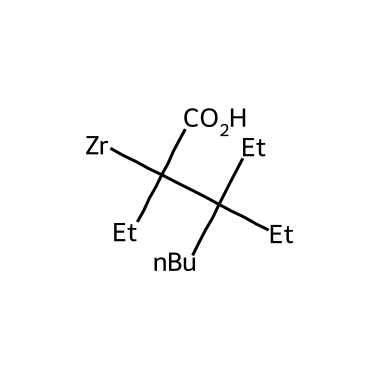 CCCCC(CC)(CC)[C]([Zr])(CC)C(=O)O